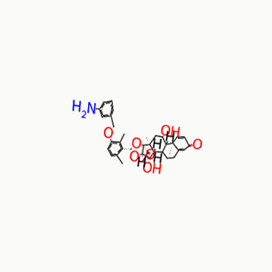 Cc1ccc(OCc2cccc(N)c2)c(C)c1[C@H]1O[C@@H]2C[C@H]3[C@@H]4CCC5=CC(=O)C=C[C@]5(C)[C@H]4[C@@H](O)C[C@]3(C)[C@]2(C(=O)CO)O1